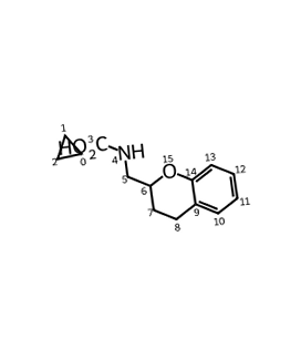 C1CC1.O=C(O)NCC1CCc2ccccc2O1